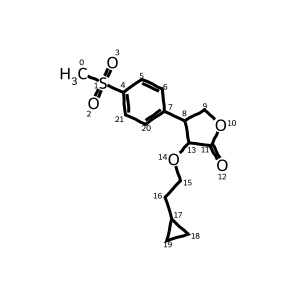 CS(=O)(=O)c1ccc(C2COC(=O)C2OCCC2CC2)cc1